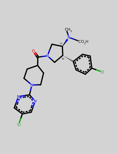 CN(C(=O)O)[C@@H]1CN(C(=O)C2CCN(c3ncc(Cl)cn3)CC2)C[C@H]1c1ccc(Cl)cc1